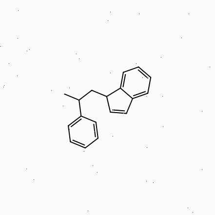 CC(CC1C=Cc2ccccc21)c1ccccc1